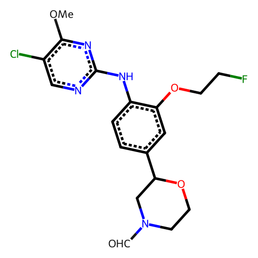 COc1nc(Nc2ccc(C3CN(C=O)CCO3)cc2OCCF)ncc1Cl